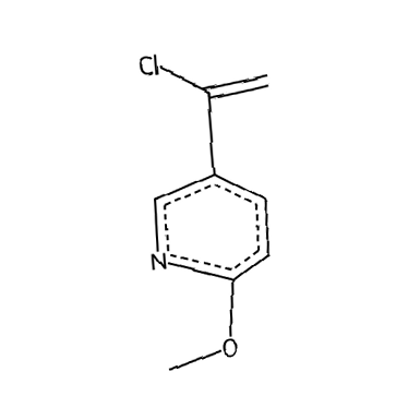 C=C(Cl)c1ccc(OC)nc1